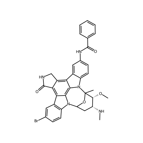 CN[C@@H]1CC2OC(C)([C@@H]1OC)n1c3ccc(NC(=O)c4ccccc4)cc3c3c4c(c5c6cc(Br)ccc6n2c5c31)C(=O)NC4